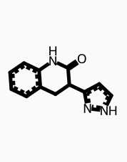 O=C1Nc2ccccc2CC1c1cc[nH]n1